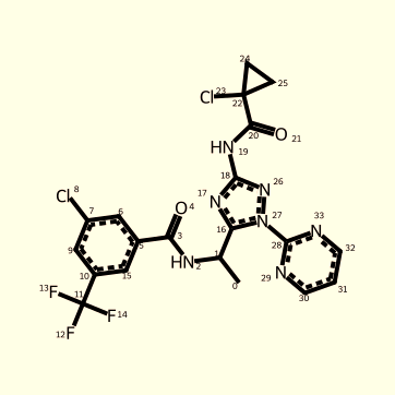 CC(NC(=O)c1cc(Cl)cc(C(F)(F)F)c1)c1nc(NC(=O)C2(Cl)CC2)nn1-c1ncccn1